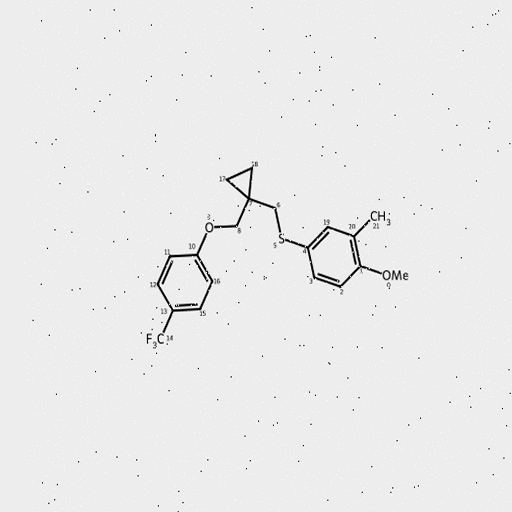 COc1ccc(SCC2(COc3ccc(C(F)(F)F)cc3)CC2)cc1C